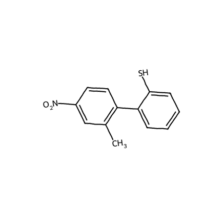 Cc1cc([N+](=O)[O-])ccc1-c1ccccc1S